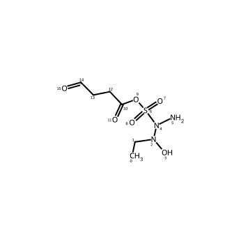 CCN(O)N(N)S(=O)(=O)OC(=O)CC[C]=O